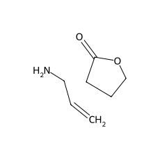 C=CCN.O=C1CCCO1